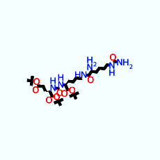 CC(C)(C)OC(=O)CC[C@H](NC(=O)N[C@@H](CCCCNC(=O)[C@@H](N)CCCCNC(N)=O)C(=O)OC(C)(C)C)C(=O)OC(C)(C)C